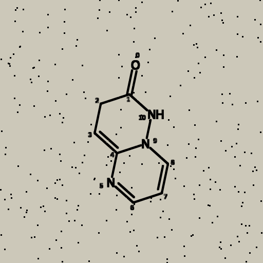 O=C1CC=C2N=CC=CN2N1